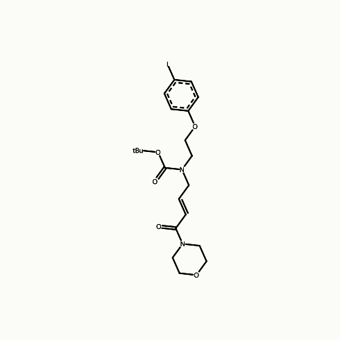 CC(C)(C)OC(=O)N(C/C=C/C(=O)N1CCOCC1)CCOc1ccc(I)cc1